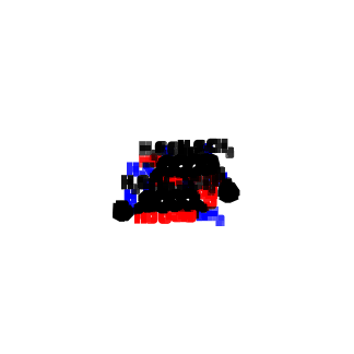 CN(C)c1cc(CNCC2C3CCC2C3)c(O)c2c1C[C@H]1C[C@H]3[C@H](N(C)C)C(O)=C(C(N)=O)C(=O)[C@@]3(O)C(ON(C)[C@@H]3C(O)=C(C(N)=O)C(=O)[C@@]4(O)C(O)=C5C(=O)c6c(O)c(CNC7C8CCC7C8)cc(N(C)C)c6C[C@H]5C[C@@H]34)=C1C2=O